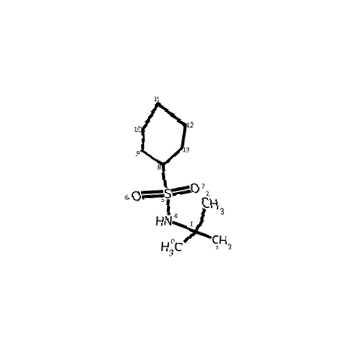 CC(C)(C)NS(=O)(=O)C1CCCCC1